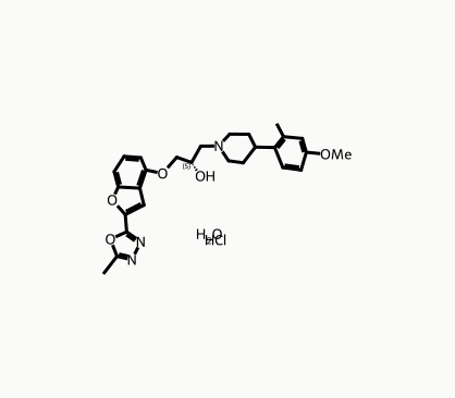 COc1ccc(C2CCN(C[C@H](O)COc3cccc4oc(-c5nnc(C)o5)cc34)CC2)c(C)c1.Cl.O